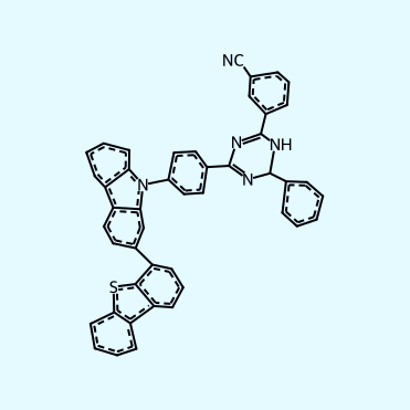 N#Cc1cccc(C2=NC(c3ccc(-n4c5ccccc5c5ccc(-c6cccc7c6sc6ccccc67)cc54)cc3)=NC(c3ccccc3)N2)c1